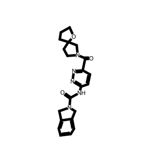 O=C(Nc1ccc(C(=O)N2CCC3(CCCO3)C2)nn1)N1Cc2ccccc2C1